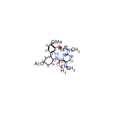 CCOc1cc(C2CC(OC(C)=O)CCC2NC(=O)c2nc(N(C)C)ncc2N(C)C)ccc1OC